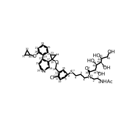 CC(=O)NCCN(CCCSc1ccc(Cl)c(COC2(c3cnccc3-c3ccccc3OC3CC3)CC2)c1)C(=O)[C@@H](O)[C@@H](O)[C@H](O)[C@@H](O)CO